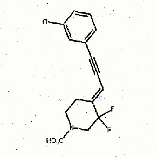 O=C(O)N1CC/C(=C\C#Cc2cccc(Cl)c2)C(F)(F)C1